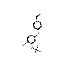 C=Cc1ccc(Oc2ccc(Cl)c(OC(F)(F)F)c2)cc1